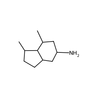 CC1CCC2CC(N)CC(C)C12